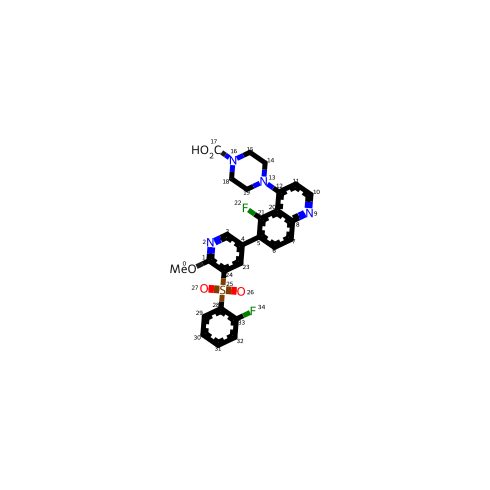 COc1ncc(-c2ccc3nccc(N4CCN(C(=O)O)CC4)c3c2F)cc1S(=O)(=O)c1ccccc1F